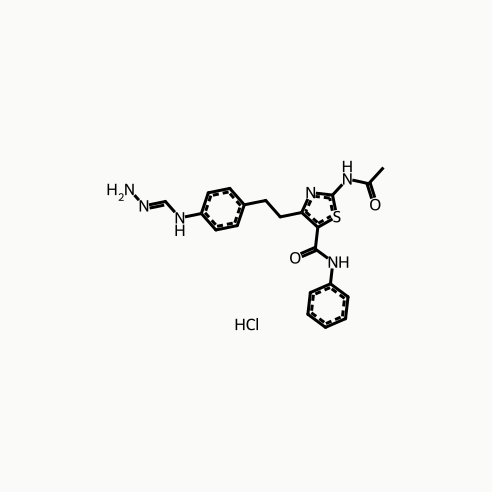 CC(=O)Nc1nc(CCc2ccc(NC=NN)cc2)c(C(=O)Nc2ccccc2)s1.Cl